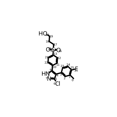 Cc1cc(-c2c(Cl)n[nH]c2-c2ccc(S(=O)(=O)CCCO)cc2)ccc1F